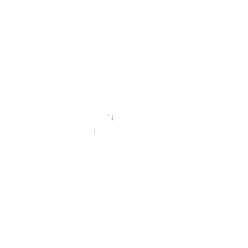 CN1C=CCCC1c1ccccc1